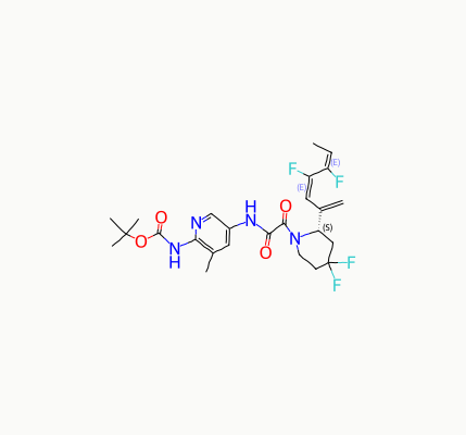 C=C(/C=C(F)\C(F)=C/C)[C@@H]1CC(F)(F)CCN1C(=O)C(=O)Nc1cnc(NC(=O)OC(C)(C)C)c(C)c1